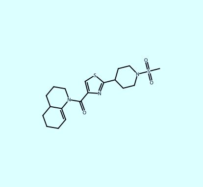 CS(=O)(=O)N1CCC(c2nc(C(=O)N3CCCC4CCCC=C43)cs2)CC1